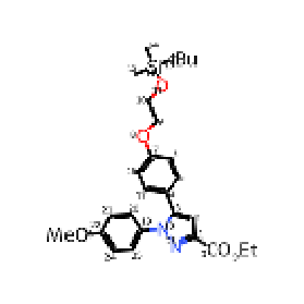 CCOC(=O)c1cc(-c2ccc(OCCO[Si](C)(C)C(C)(C)C)cc2)n(-c2ccc(OC)cc2)n1